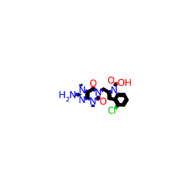 Cn1c(N)nc2c1c(=O)n(Cc1cc3c(Cl)cccc3n1C(=O)O)c(=O)n2C